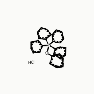 Cl.c1ccc(OP(c2ccccc2)(c2ccccc2)(c2ccccc2)c2ccccc2)cc1